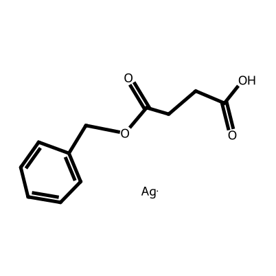 O=C(O)CCC(=O)OCc1ccccc1.[Ag]